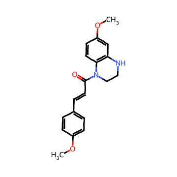 COc1ccc(C=CC(=O)N2CCNc3cc(OC)ccc32)cc1